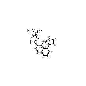 O=S(=O)([O-])C(F)(F)F.Oc1ccc2ccccc2c1C[S+]1CCCC1